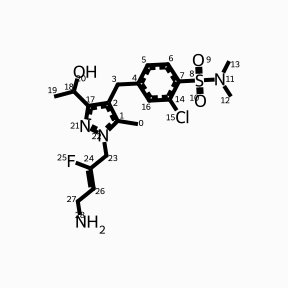 Cc1c(Cc2ccc(S(=O)(=O)N(C)C)c(Cl)c2)c(C(C)O)nn1CC(F)=CCN